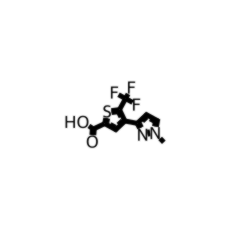 Cn1ccc(-c2cc(C(=O)O)sc2C(F)(F)F)n1